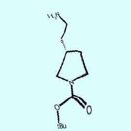 CC(C)(C)OC(=O)N1CC[C@@H](CCN)C1